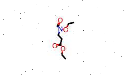 CCOC(=O)CCN(C=O)OCC